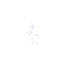 COc1cc(/C=C2/CC[C@@H]3CC=C[C@@H](c4ccc(F)cc4)N3C2=O)ccc1-n1cnc(C)c1